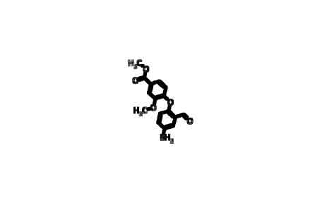 Bc1ccc(Oc2ccc(C(=O)OC)cc2OC)c(C=O)c1